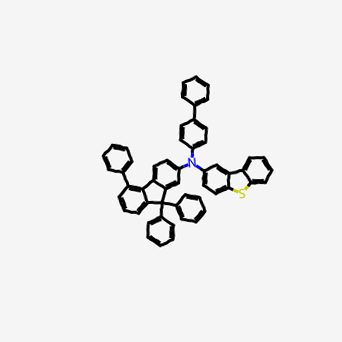 c1ccc(-c2ccc(N(c3ccc4c(c3)C(c3ccccc3)(c3ccccc3)c3cccc(-c5ccccc5)c3-4)c3ccc4sc5ccccc5c4c3)cc2)cc1